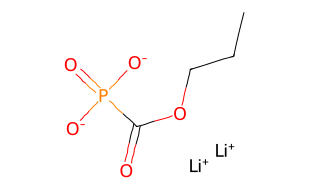 CCCOC(=O)P(=O)([O-])[O-].[Li+].[Li+]